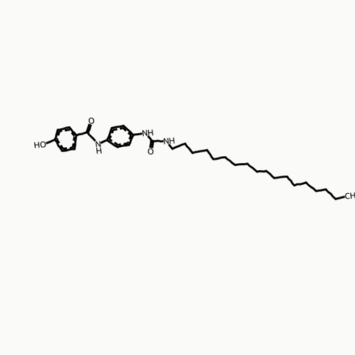 CCCCCCCCCCCCCCCCCCNC(=O)Nc1ccc(NC(=O)c2ccc(O)cc2)cc1